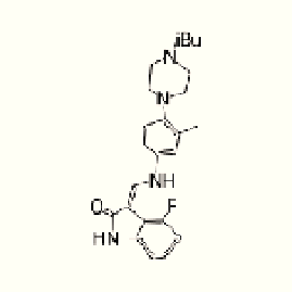 CCC(C)N1CCN(c2ccc(N/C=C3/C(=O)Nc4cccc(F)c43)cc2C)CC1